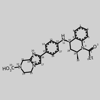 CCC(=O)N1c2ccccc2[C@H](Nc2ccc(-c3cn4c(n3)CN(C(=O)O)CC4)cc2)C[C@@H]1C